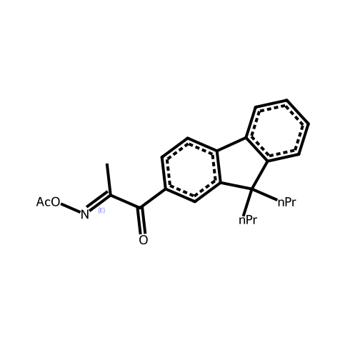 CCCC1(CCC)c2ccccc2-c2ccc(C(=O)/C(C)=N/OC(C)=O)cc21